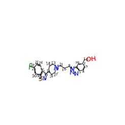 OCc1ccc2nnn(CCCN3CCC(c4nsc5cc(F)ccc45)CC3)c2c1